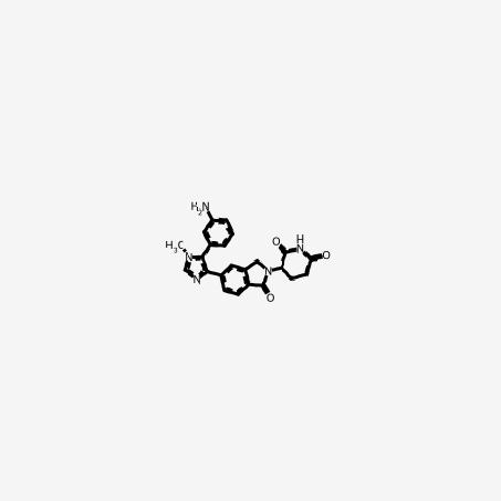 Cn1cnc(-c2ccc3c(c2)CN(C2CCC(=O)NC2=O)C3=O)c1-c1cccc(N)c1